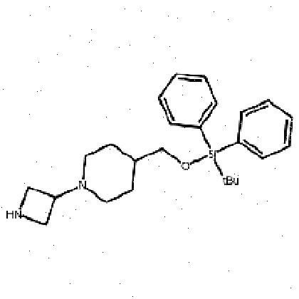 CC(C)(C)[Si](OCC1CCN(C2CNC2)CC1)(c1ccccc1)c1ccccc1